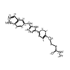 CC(C)NC(=O)CCOC1=CC=C(c2nnc(Nc3ccc4[nH]ncc4c3)[nH]2)CC1